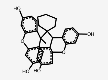 CC1(C2(C3c4ccc(O)cc4Oc4cc(O)ccc43)CCCCC2)c2ccc(O)cc2Oc2cc(O)ccc21